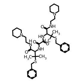 CC(C)(SCc1ccccc1)C(NC(=O)C(=O)NC(C(=O)NCCN1CCCCC1)C(C)(C)SCc1ccccc1)C(=O)NCCN1CCCCC1